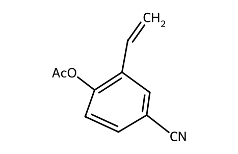 C=Cc1cc(C#N)ccc1OC(C)=O